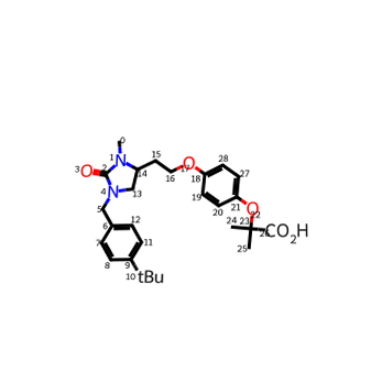 CN1C(=O)N(Cc2ccc(C(C)(C)C)cc2)CC1CCOc1ccc(OC(C)(C)C(=O)O)cc1